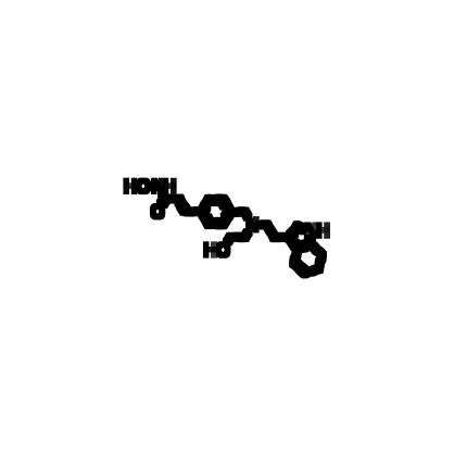 O=C(/C=C/c1ccc(CN(CCO)CCc2c[nH]c3c2C=CCC3)cc1)NO